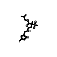 CC(C)COC(=O)C(C)(CCNCc1cc(I)c[nH]1)S(C)(=O)=O